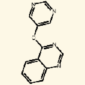 c1ccc2c(Oc3cncnc3)ncnc2c1